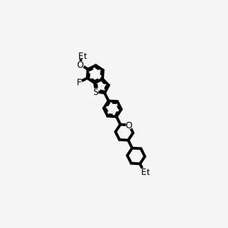 CCOc1ccc2cc(-c3ccc(C4CCC(C5CCC(CC)CC5)CO4)cc3)sc2c1F